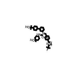 CC1(O)CCC(NC(=O)N(CC23CCC(c4noc(C(C)(C)F)n4)(CC2)CC3)c2cccc(-c3ccc(C(C)(C)O)cc3)c2)CC1